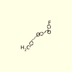 C=Cc1ccc(CCCCOc2ccc(/C=C/C(=O)c3ccc(F)cc3)cc2)cc1